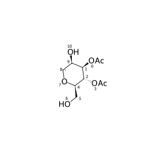 CC(=O)O[C@H]1[C@H](OC(C)=O)[C@@H](CO)O[CH][C@H]1O